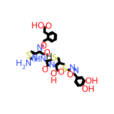 Nc1nc(/C(=N/OCc2ccccc2CC(=O)O)C(=O)N[C@@H]2C(=O)N3C(C(=O)O)=C(CSc4nnc(-c5ccc(O)c(O)c5)o4)CS[C@H]23)cs1